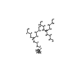 Br.Br.CCCCP(CCCC)CCCC.CCCCP(CCCC)CCCC